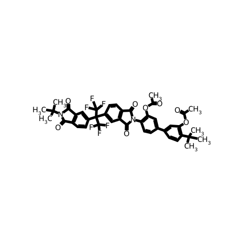 CC(=O)Oc1cc(-c2ccc(C(C)(C)C)c(OC(C)=O)c2)ccc1N1C(=O)c2ccc(C(c3ccc4c(c3)C(=O)N(C(C)(C)C)C4=O)(C(F)(F)F)C(F)(F)F)cc2C1=O